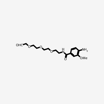 COc1cc(C(=O)NCCOCCOCCOCC=O)ccc1N